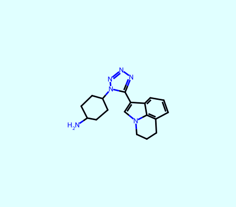 NC1CCC(n2nnnc2-c2cn3c4c(cccc24)CCC3)CC1